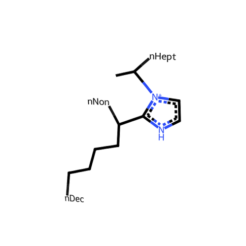 CCCCCCCCCCCCCCC(CCCCCCCCC)c1[nH]cc[n+]1C(C)CCCCCCC